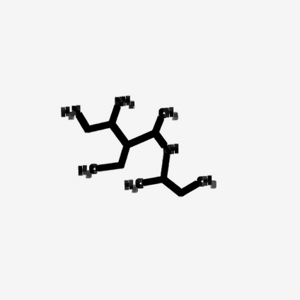 CCC(C)NC(C)C(CC)C(N)CN